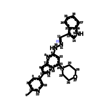 Cc1ccc(-c2cc3nc(N/N=C/c4c[nH]c5ccccc45)cc(N4CCOCC4)n3n2)cn1